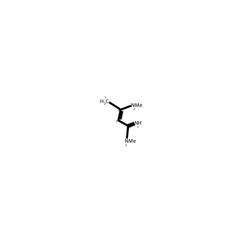 CNC(=N)/C=C(/C)NC